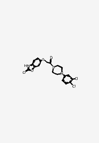 O=C(COc1ccc2[nH]c(=O)oc2c1)N1CCN(c2ccc(Cl)c(Cl)c2)CC1